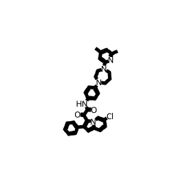 Cc1cc(C)nc(N2CCCN(c3ccc(NC(=O)C(=O)c4c(-c5ccccc5)cc5ccc(Cl)cn45)cc3)CC2)c1